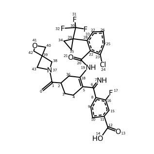 C=C(C1CCC(C(=N)c2ccc(C(=O)O)cc2F)=C(NC(=O)c2c(Cl)cccc2C2(C(F)(F)F)CC2)C1)N1CC2(COC2)C1